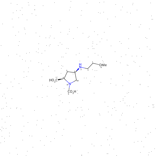 COCCN[C@@H]1C[C@H](C(=O)O)N(C(=O)O)C1